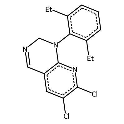 CCc1cccc(CC)c1N1CN=Cc2cc(Cl)c(Cl)nc21